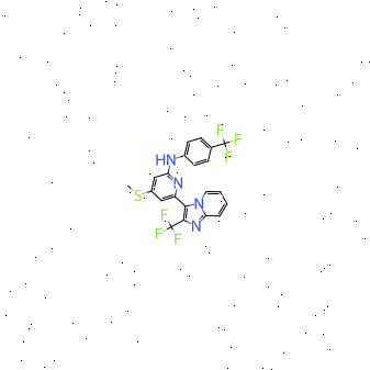 CSc1cc(Nc2ccc(C(F)(F)F)cc2)nc(-c2c(C(F)(F)F)nc3ccccn23)c1